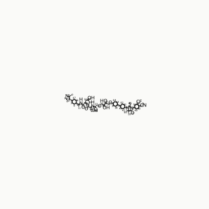 Cc1ncsc1-c1ccc([C@H](C)NC(=O)[C@@H]2C[C@@H](O)CN2C(=O)C(NC(=O)COC[C@H](O)[C@@H](O)COc2ccc(-c3ccc(N4C(=S)N(c5ccc(C#N)c(C(F)(F)F)c5)C(=O)C4(C)C)cc3)cc2)C(C)(C)C)cc1